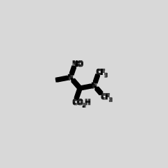 CN(N=O)C(C(=O)O)N(C(F)(F)F)C(F)(F)F